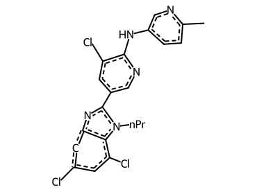 CCCn1c(-c2cnc(Nc3ccc(C)nc3)c(Cl)c2)nc2cc(Cl)cc(Cl)c21